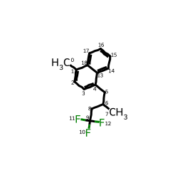 Cc1ccc(CC(C)CC(F)(F)F)c2ccccc12